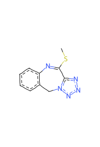 CSC1=Nc2ccccc2Cn2nnnc21